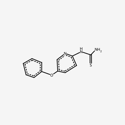 NC(=S)Nc1ccc(Oc2ccccc2)cn1